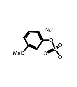 COc1cccc(OS(=O)(=O)[O-])c1.[Na+]